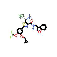 C[C@H](N)c1sc(-c2ccc(OC(F)F)c(OCC3CC3)c2)nc1C(=O)NCc1coc2ccccc12.Cl